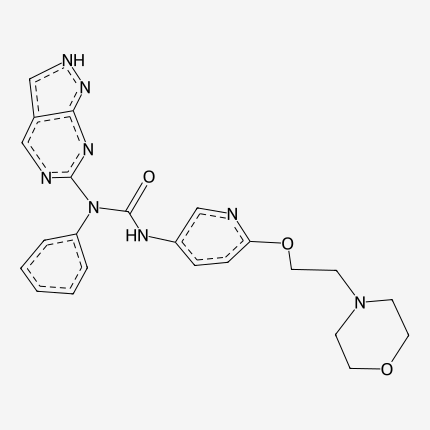 O=C(Nc1ccc(OCCN2CCOCC2)nc1)N(c1ccccc1)c1ncc2c[nH]nc2n1